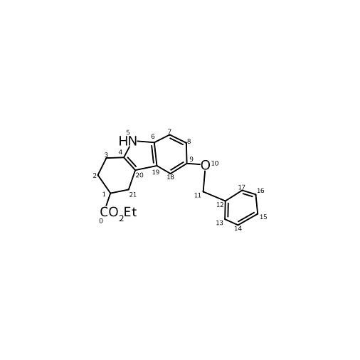 CCOC(=O)C1CCc2[nH]c3ccc(OCc4ccccc4)cc3c2C1